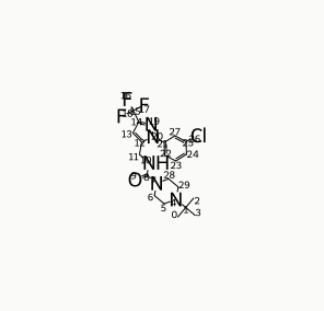 CC(C)(C)N1CCN(C(=O)NCc2cc(C(F)(F)F)nn2-c2cccc(Cl)c2)CC1